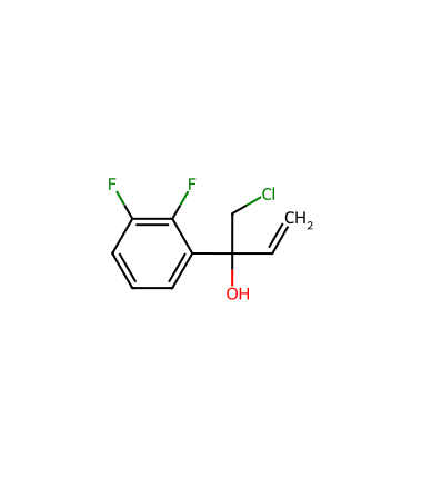 C=CC(O)(CCl)c1cccc(F)c1F